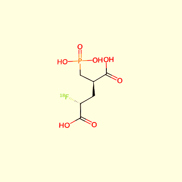 O=C(O)[C@@H](C[C@@H]([18F])C(=O)O)CP(=O)(O)O